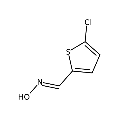 ON=Cc1ccc(Cl)s1